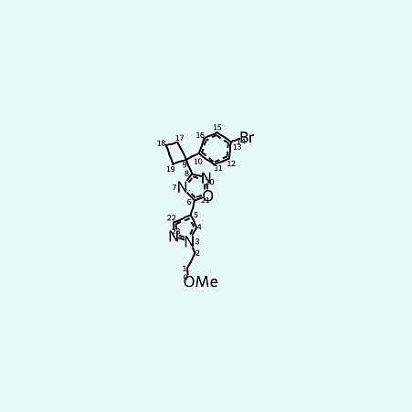 COCCn1cc(-c2nc(C3(c4ccc(Br)cc4)CCC3)no2)cn1